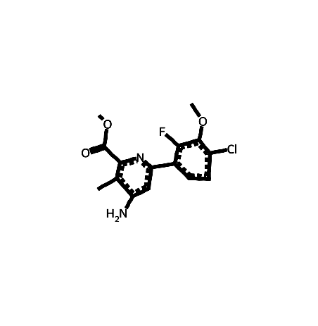 COC(=O)c1nc(-c2ccc(Cl)c(OC)c2F)cc(N)c1C